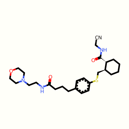 N#CCNC(=O)[C@@H]1CCCC[C@H]1CSc1ccc(CCCC(=O)NCCN2CCOCC2)cc1